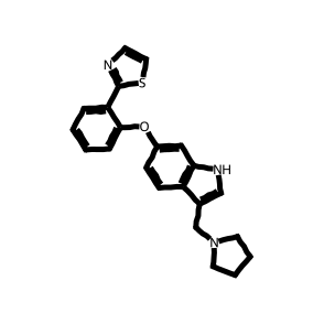 c1ccc(-c2nccs2)c(Oc2ccc3c(CN4CCCC4)c[nH]c3c2)c1